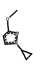 COc1ccn(C2CC2)n1